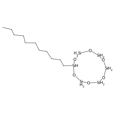 CCCCCCCCCCC[SiH]1O[SiH2]O[SiH2]O[SiH2]O[SiH2]O[SiH2]O1